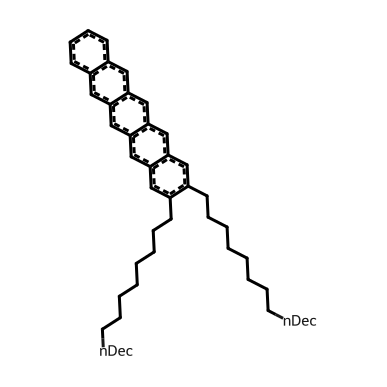 CCCCCCCCCCCCCCCCCCc1cc2cc3cc4cc5ccccc5cc4cc3cc2cc1CCCCCCCCCCCCCCCCCC